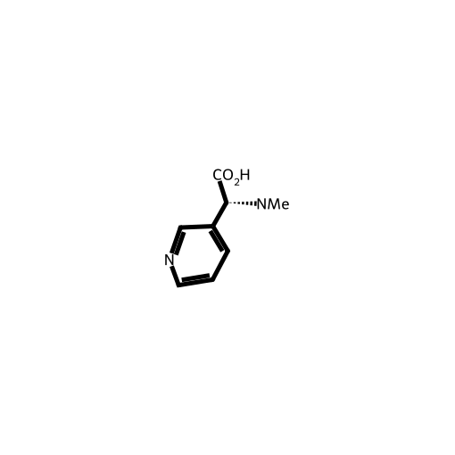 CN[C@@H](C(=O)O)c1cccnc1